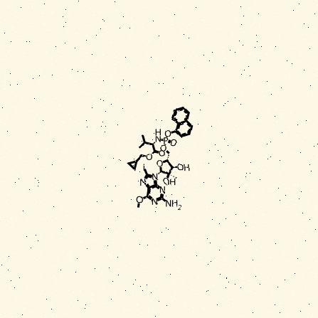 COc1nc(N)nc2c1nc(I)n2[C@@H]1O[C@H](COP(=O)(N[C@H](C(=O)OCC2CC2)C(C)C)Oc2cccc3ccccc23)[C@@H](O)[C@@]1(C)O